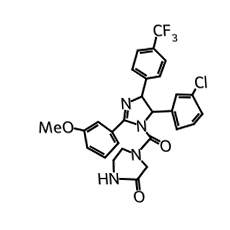 COc1cccc(C2=NC(c3ccc(C(F)(F)F)cc3)C(c3cccc(Cl)c3)N2C(=O)N2CCNC(=O)C2)c1